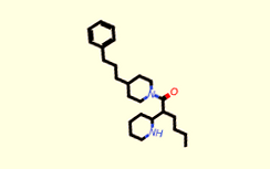 CCCCC(C(=O)N1CCC(CCCc2ccccc2)CC1)C1CCCCN1